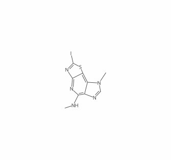 CNc1nc2nc(I)sc2c2c1ncn2C